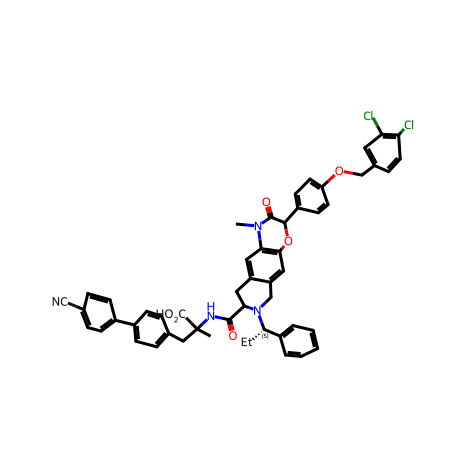 CC[C@@H](c1ccccc1)N1Cc2cc3c(cc2CC1C(=O)NC(C)(Cc1ccc(-c2ccc(C#N)cc2)cc1)C(=O)O)N(C)C(=O)C(c1ccc(OCc2ccc(Cl)c(Cl)c2)cc1)O3